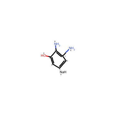 Nc1cccc(O)c1N.[NaH]